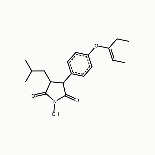 CC=C(CC)Oc1ccc(C2C(=O)N(O)C(=O)C2CC(C)C)cc1